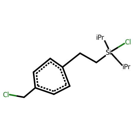 CC(C)[Si](Cl)(CCc1ccc(CCl)cc1)C(C)C